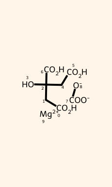 O=C(O)CC(O)(CC(=O)O)C(=O)O.O=C([O-])[O-].[Mg+2]